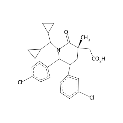 C[C@@]1(CC(=O)O)CC(c2cccc(Cl)c2)C(c2ccc(Cl)cc2)N(C(C2CC2)C2CC2)C1=O